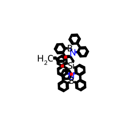 C=C/C=C\C1=C(C[Si](c2ccccc2)(c2ccccc2)c2cccc3c2N2B(c4ccccc4-c4ccccc42)c2ccccc2-3)N2B(c3ccccc31)c1ccccc1-c1ccccc12